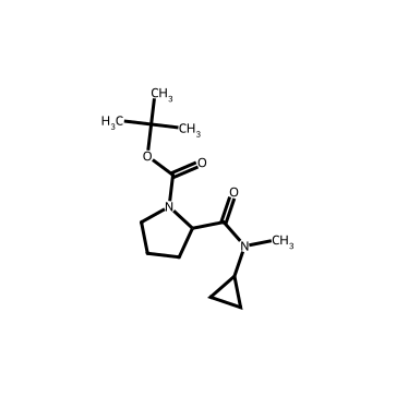 CN(C(=O)C1CCCN1C(=O)OC(C)(C)C)C1CC1